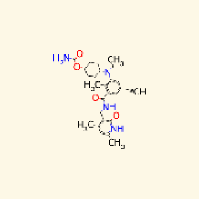 C#Cc1cc(C(=O)NCc2c(C)cc(C)[nH]c2=O)c(C)c(N(CC)[C@H]2CC[C@H](OC(N)=O)CC2)c1